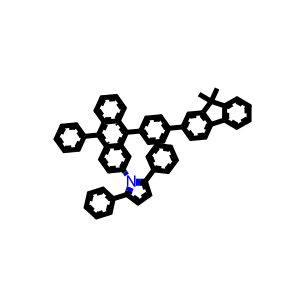 CC1(C)c2ccccc2-c2ccc(-c3ccc(-c4c5ccccc5c(-c5ccccc5)c5ccc(-n6c(-c7ccccc7)ccc6-c6ccccc6)cc45)cc3)cc21